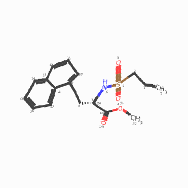 CCCS(=O)(=O)N[C@@H](Cc1cccc2ccccc12)C(=O)OC